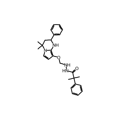 CC(C)(C(=O)NNCOc1ccn2c1NC(c1ccccc1)CC2(C)C)c1ccccc1